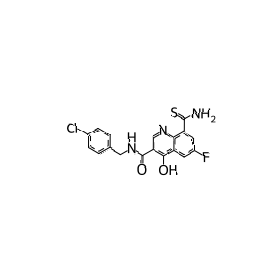 NC(=S)c1cc(F)cc2c(O)c(C(=O)NCc3ccc(Cl)cc3)cnc12